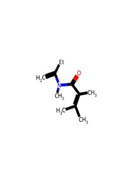 C=C(CC)N(C)C(=O)C(C)=C(C)C